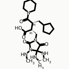 CNN1C(=O)N(C[C@H](C(=O)O)[C@@H](CC2CCCC2)C(=O)N2CCCCC2)C(=O)C1(NC)NC